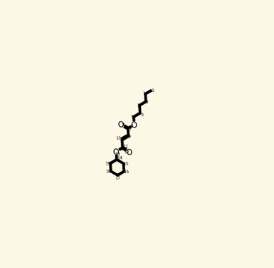 CCCCCCOC(=O)/C=C/C(=O)OC1CCCCC1